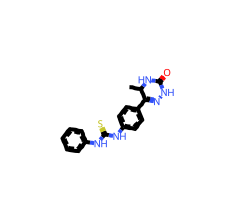 CC1NC(=O)NN=C1c1ccc(NC(=S)Nc2ccccc2)cc1